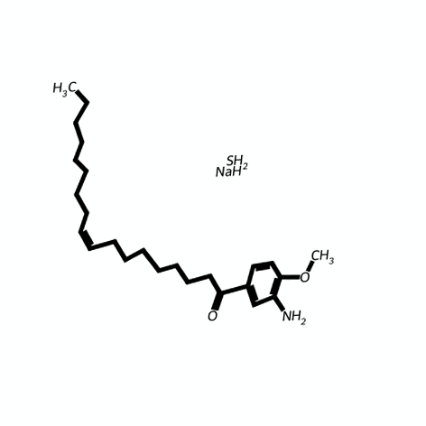 CCCCCCCC/C=C\CCCCCCCC(=O)c1ccc(OC)c(N)c1.S.[NaH]